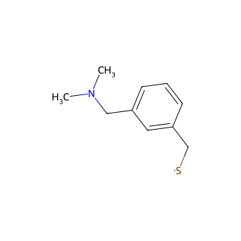 CN(C)Cc1cccc(C[S])c1